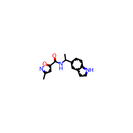 Cc1cc(C(=O)NC(C)c2ccc3[nH]ccc3c2)on1